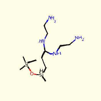 C[SiH](CCC(NCCN)NCCN)O[Si](C)(C)C